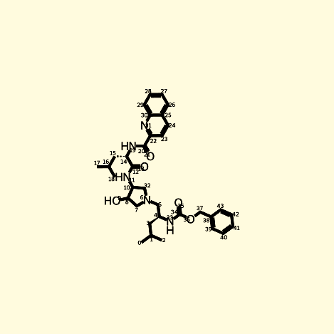 CC(C)C[C@@H](CN1CC(O)C(NC(=O)[C@H](CC(C)C)NC(=O)c2ccc3ccccc3n2)C1)NC(=O)OCc1ccccc1